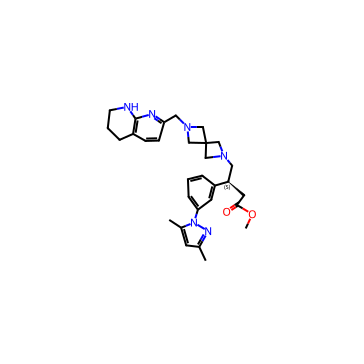 COC(=O)C[C@H](CN1CC2(CN(Cc3ccc4c(n3)NCCC4)C2)C1)c1cccc(-n2nc(C)cc2C)c1